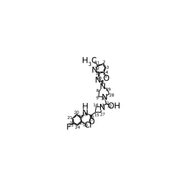 Cc1ccc2oc(N3CCN(C(O)N4CC(C(=O)Nc5ccc(F)cc5Cl)C4)CC3)nc2n1